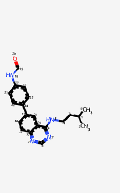 CC(C)CCNc1ncnc2ccc(-c3ccc(NC=O)cc3)cc12